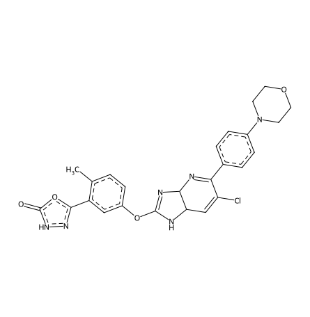 Cc1ccc(OC2=NC3N=C(c4ccc(N5CCOCC5)cc4)C(Cl)=CC3N2)cc1-c1n[nH]c(=O)o1